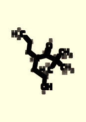 CCCN(CCO)C(=O)C(C)(C)C